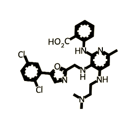 Cc1cc(NCCN(C)C)c(NCc2ncc(-c3cc(Cl)ccc3Cl)o2)c(Nc2ccccc2C(=O)O)n1